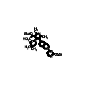 COc1nccc(N2CCc3cc(-c4c(C)nc(C)c(C(OC(C)(C)C)C(=O)O)c4N4CCC(C)(C)CC4)ccc3C2)n1